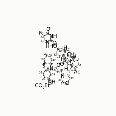 CC(=O)[C@H]1CC[C@H]2[C@@H]3CC[C@H]4C[C@H](O)CC[C@]4(C)[C@H]3C(=O)C[C@]12C.CCOC(=O)Nc1ccc2c(c1)N(C(=O)CCN1CCOCC1)c1ccccc1S2.O=c1[nH]cc(F)c(=O)[nH]1